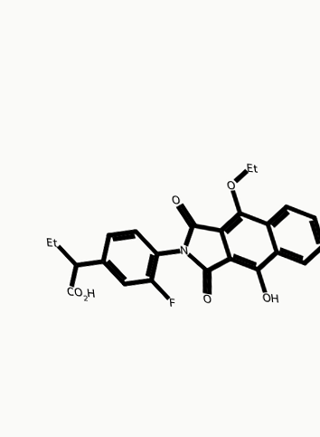 CCOc1c2c(c(O)c3ccccc13)C(=O)N(c1ccc(C(CC)C(=O)O)cc1F)C2=O